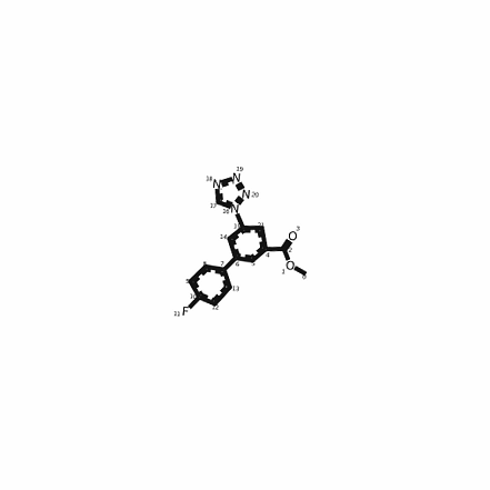 COC(=O)c1cc(-c2ccc(F)cc2)cc(-n2cnnn2)c1